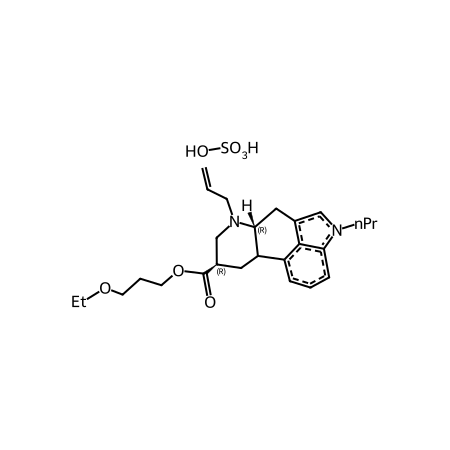 C=CCN1C[C@H](C(=O)OCCCOCC)CC2c3cccc4c3c(cn4CCC)C[C@H]21.O=S(=O)(O)O